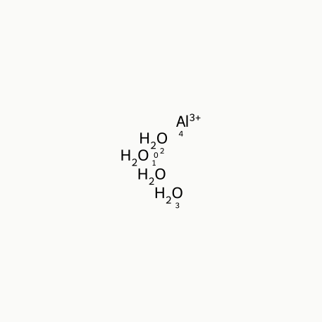 O.O.O.O.[Al+3]